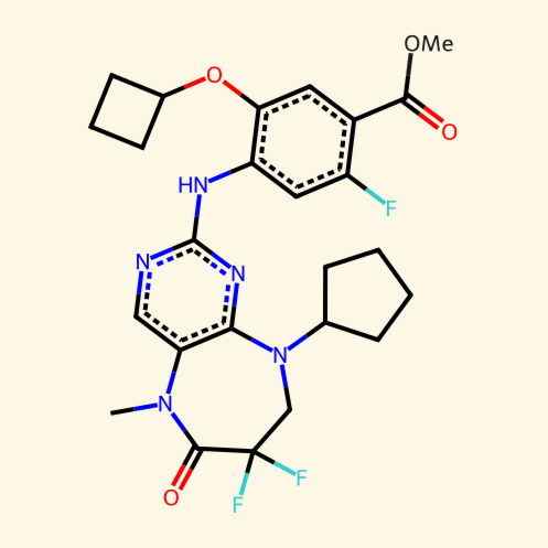 COC(=O)c1cc(OC2CCC2)c(Nc2ncc3c(n2)N(C2CCCC2)CC(F)(F)C(=O)N3C)cc1F